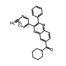 C#C/N=C\C(=C/C)c1nc2cc(C(=O)N3CCCCC3)ccc2nc1-c1ccccc1